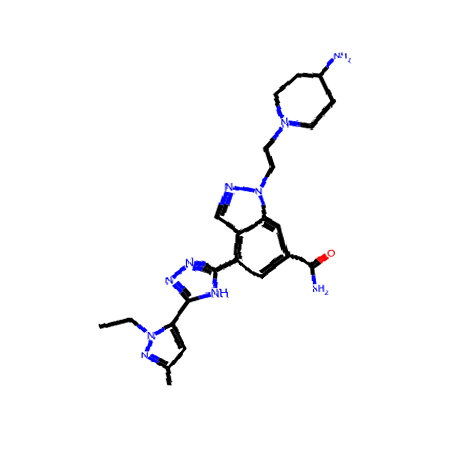 CCn1nc(C)cc1-c1nnc(-c2cc(C(N)=O)cc3c2cnn3CCN2CCC(N)CC2)[nH]1